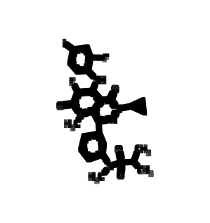 CC(C)S(=O)(=O)N(C)c1cccc(-c2nn(C3CC3)c(=O)c3c(Nc4ccc(I)cc4F)c(F)c(=O)n(C)c23)c1